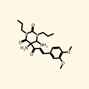 CCCN1C(=O)N(CCC)C(N)C(N)(C(=O)C=Cc2ccc(OC)c(OC)c2)C1=O